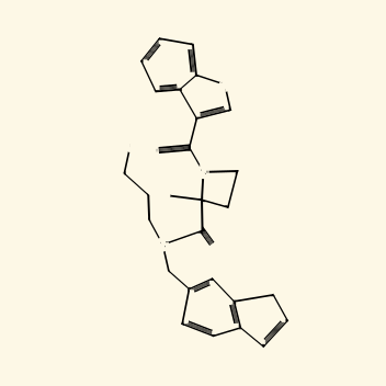 CCOC(=O)CCCN(Cc1ccc2c(c1)CC=C2)C(=O)C1(C)CCN1C(=O)c1csc2ccccc12